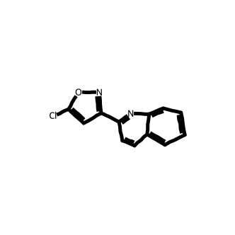 Clc1cc(-c2ccc3ccccc3n2)no1